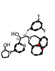 OC1CCCN1c1ccnc([C@@H](O)[C@H](Cc2cc(F)cc(F)c2)N(Cc2ccccc2)Cc2ccccc2)c1